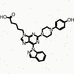 O=C(O)CCCCn1cnc2c(-n3ncc4ccccc43)nc(N3CCN(c4ccc(O)cc4)CC3)nc21